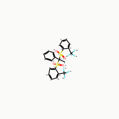 CC(c1ccccc1)(S(=O)(=O)c1ccccc1C(F)(F)F)S(=O)(=O)c1ccccc1C(F)(F)F